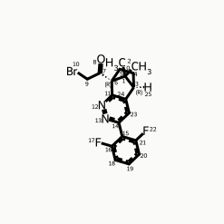 CC1(C)[C@H]2CC[C@]1(C(=O)CBr)c1nnc(-c3c(F)cccc3F)cc12